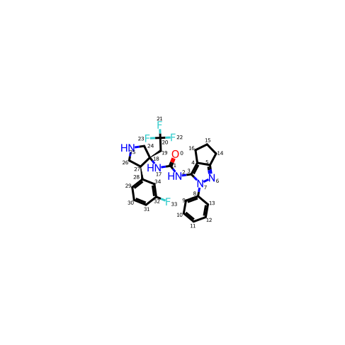 O=C(Nc1c2c(nn1-c1ccccc1)CCC2)N[C@@]1(CC(F)(F)F)CNC[C@@H]1c1cccc(F)c1